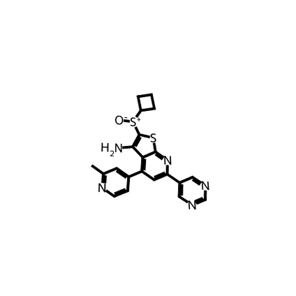 Cc1cc(-c2cc(-c3cncnc3)nc3sc([S+]([O-])C4CCC4)c(N)c23)ccn1